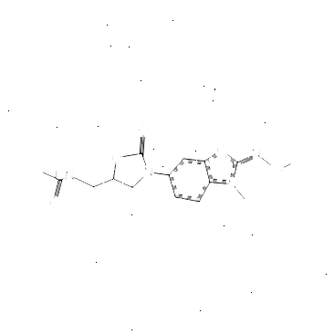 CON=c1oc2cc(N3CC(CNC(C)=O)OC3=O)ccc2n1C